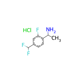 CC(N)c1ccc(C(F)F)cc1F.Cl